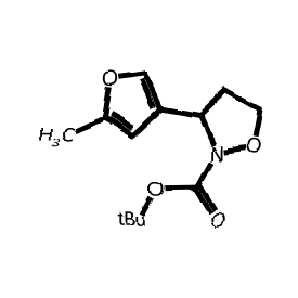 Cc1cc(C2CCON2C(=O)OC(C)(C)C)co1